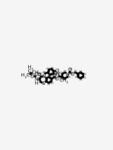 CC(C)(C)OC(=O)N[C@H]1CSc2ccc(-c3nnc(C4(C)CCN(C(=O)OCc5ccccc5)CC4)o3)cc2N(Cc2ccc(Cl)cc2)C1=O